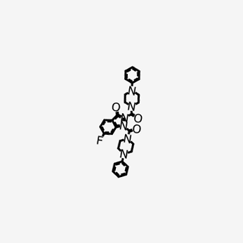 O=C(N1CCN(c2ccccc2)CC1)n1c(=O)c2ccc(F)cc2n1C(=O)N1CCN(c2ccccc2)CC1